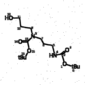 CC(C)(C)OC(=O)NCCCN(CCCO)C(=O)OC(C)(C)C